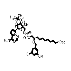 CCCCCCCCCCCCCCCCCC[C@H](COP(=O)(O)OC[C@@]1(C#N)O[C@@H](c2ccc3c(N)ncnn23)[C@@H]2OC(C)(C)O[C@@H]21)OCc1cc(Cl)cc(C#N)c1